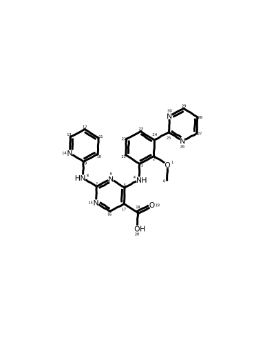 COc1c(Nc2nc(Nc3ccccn3)ncc2C(=O)O)cccc1-c1ncccn1